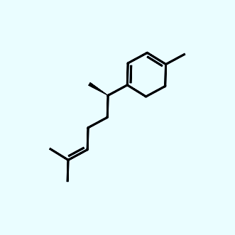 CC(C)=CCC[C@@H](C)C1=CC=C(C)CC1